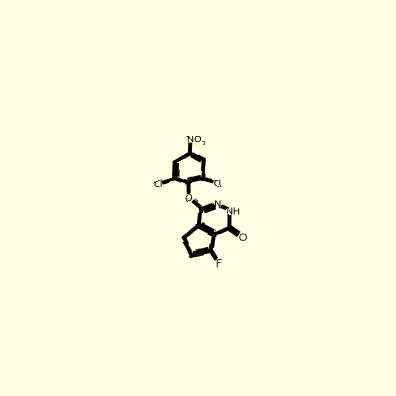 O=c1[nH]nc(Oc2c(Cl)cc([N+](=O)[O-])cc2Cl)c2c1C(F)=CC2